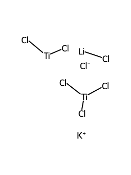 [Cl-].[Cl][Ti]([Cl])[Cl].[Cl][Ti][Cl].[K+].[Li][Cl]